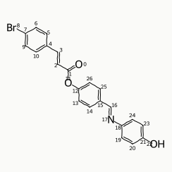 O=C(/C=C/c1ccc(Br)cc1)Oc1ccc(/C=N/c2ccc(O)cc2)cc1